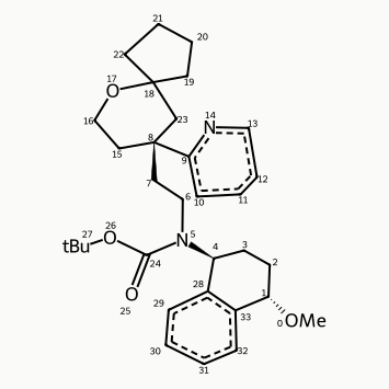 CO[C@H]1CC[C@H](N(CC[C@@]2(c3ccccn3)CCOC3(CCCC3)C2)C(=O)OC(C)(C)C)c2ccccc21